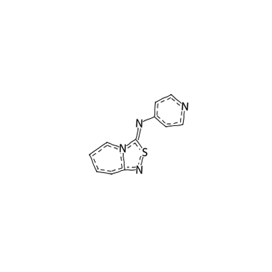 c1ccn2c(=Nc3ccncc3)snc2c1